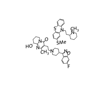 CSc1ccc2c(c1)N(CCC1CCCCN1C)c1ccccc1S2.Cc1nc2n(c(=O)c1CCN1CCC(c3noc4cc(F)ccc34)CC1)CCC[C@H]2O